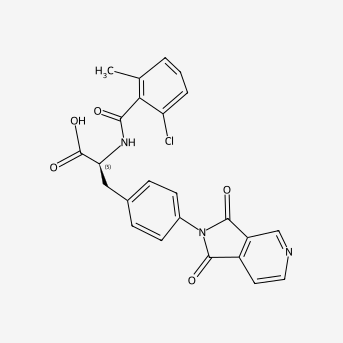 Cc1cccc(Cl)c1C(=O)N[C@@H](Cc1ccc(N2C(=O)c3ccncc3C2=O)cc1)C(=O)O